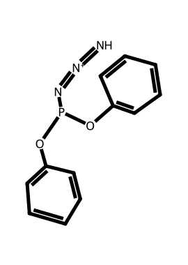 N=[N+]=NP(Oc1ccccc1)Oc1ccccc1